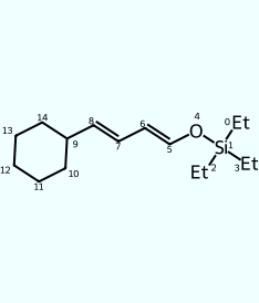 CC[Si](CC)(CC)O/C=C/C=C/C1CCCCC1